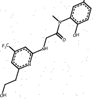 Cc1ccc(O)c(N(C)C(=O)CNc2cc(C(F)(F)F)cc(CCO)n2)c1